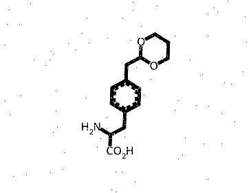 NC(Cc1ccc(CC2OCCCO2)cc1)C(=O)O